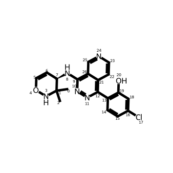 CC1(C)NOC=C[C@H]1Nc1nnc(-c2ccc(Cl)cc2O)c2ccncc12